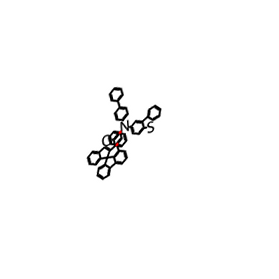 c1ccc(-c2ccc(N(c3cccc(-c4cccc5c4C4(c6ccccc6-5)c5ccccc5-c5oc6ccccc6c54)c3)c3ccc4sc5ccccc5c4c3)cc2)cc1